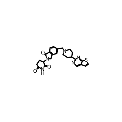 O=C1CCC(N2Cc3cc(CN4CCC(c5ncc6ccsc6n5)CC4)ccc3C2=O)C(=O)N1